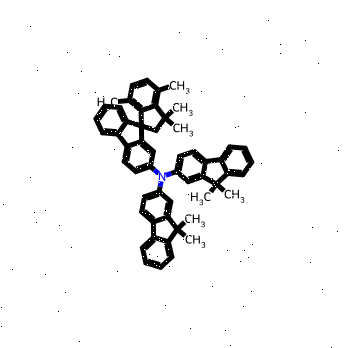 Cc1ccc(C)c2c1C(C)(C)CC21c2ccccc2-c2ccc(N(c3ccc4c(c3)C(C)(C)c3ccccc3-4)c3ccc4c(c3)C(C)(C)c3ccccc3-4)cc21